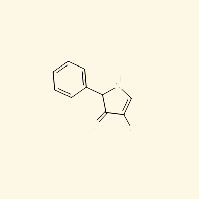 CC1=CNC(c2ccccc2)C1=O